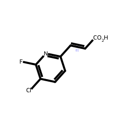 O=C(O)/C=C/c1ccc(Cl)c(F)n1